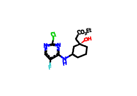 CCOC(=O)C[C@@]1(O)CCCC(Nc2nc(Cl)ncc2F)C1